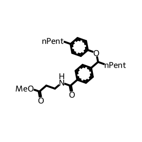 CCCCCc1ccc(OC(CCCCC)c2ccc(C(=O)NCCC(=O)OC)cc2)cc1